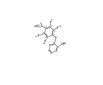 CC(C)c1ccccc1Sc1c(F)c(F)c(S(=O)(=O)O)c(F)c1F